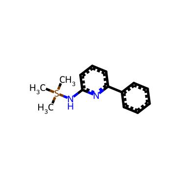 CS(C)(C)Nc1cccc(-c2ccccc2)n1